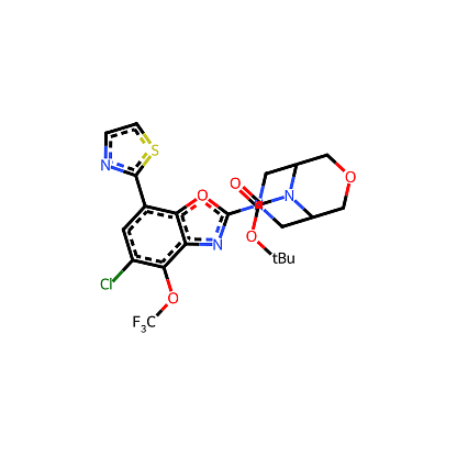 CC(C)(C)OC(=O)N1C2COCC1CN(c1nc3c(OC(F)(F)F)c(Cl)cc(-c4nccs4)c3o1)C2